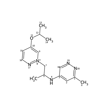 Cc1cc(NC(C)C[n+]2cc(OC(C)C)ccn2)cnn1